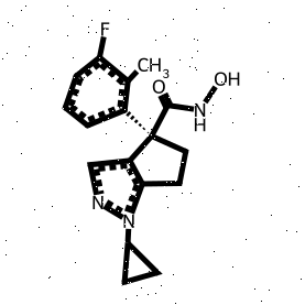 Cc1c(F)cccc1[C@]1(C(=O)NO)CCc2c1cnn2C1CC1